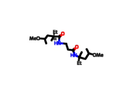 CCC(C)(CC(C)OC)NC(=O)CCNC(=O)[C@](C)(CC)CC(C)OC